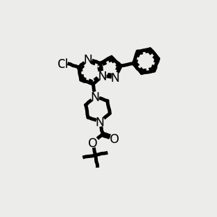 CC(C)(C)OC(=O)N1CCN(c2cc(Cl)nc3cc(-c4ccccc4)nn23)CC1